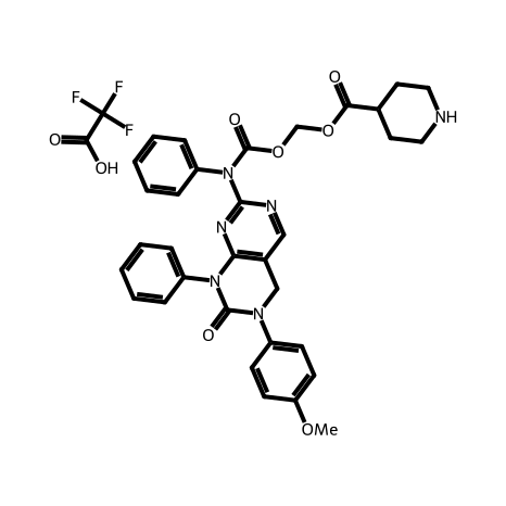 COc1ccc(N2Cc3cnc(N(C(=O)OCOC(=O)C4CCNCC4)c4ccccc4)nc3N(c3ccccc3)C2=O)cc1.O=C(O)C(F)(F)F